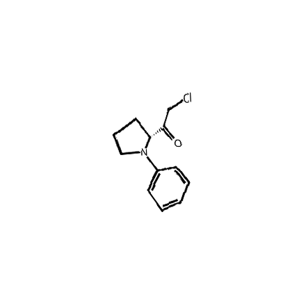 O=C(CCl)[C@H]1CCCN1c1ccccc1